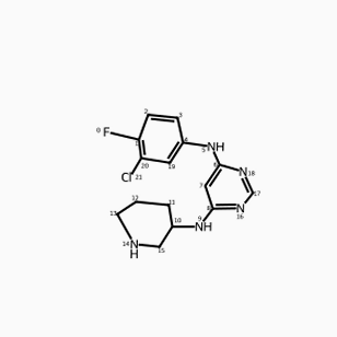 Fc1ccc(Nc2cc(NC3CCCNC3)ncn2)cc1Cl